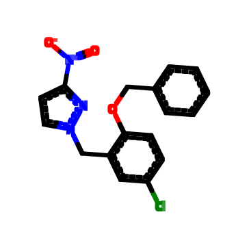 O=[N+]([O-])c1ccn(Cc2cc(Cl)ccc2OCc2ccccc2)n1